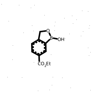 CCOC(=O)c1ccc2c(c1)B(O)OC2